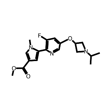 COC(=O)c1cc(-c2ncc(OC3CN(C(C)C)C3)cc2F)n(C)c1